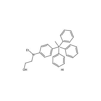 CCN(CCO)c1ccc(P(C)(c2ccccc2)(c2ccccc2)c2ccccc2)cc1.I